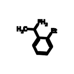 CCc1ccccc1C(C)P